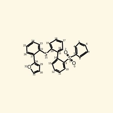 O=S(=O)(c1ccccc1)c1ccccc1-c1ccccc1Sc1ccccc1-c1ccco1